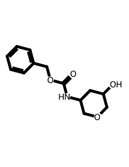 O=C(NC1COCC(O)C1)OCc1ccccc1